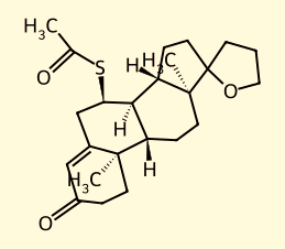 CC(=O)S[C@@H]1CC2=CC(=O)CC[C@]2(C)[C@H]2CC[C@@]3(C)[C@@H](CCC34CCCO4)[C@H]12